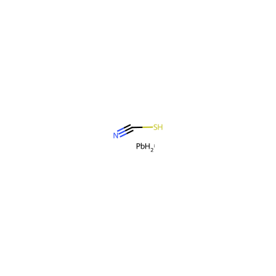 N#CS.[PbH2]